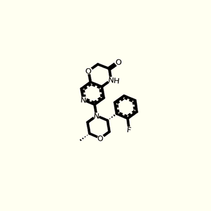 C[C@@H]1CN(c2cc3c(cn2)OCC(=O)N3)[C@H](c2ccccc2F)CO1